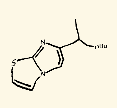 CCCCC(C)c1cn2ccsc2n1